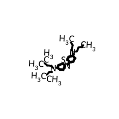 CCCCN(CCCC)c1ccc2nc3ccc(N(CCC(C)C)CCC(C)C)cc3[s+]c2c1